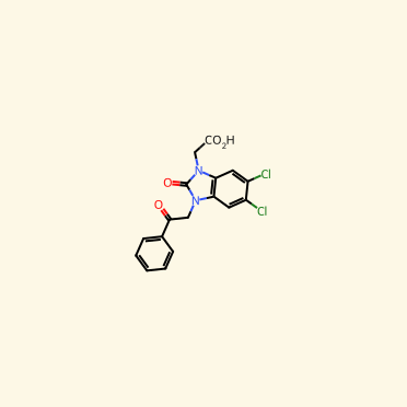 O=C(O)Cn1c(=O)n(CC(=O)c2ccccc2)c2cc(Cl)c(Cl)cc21